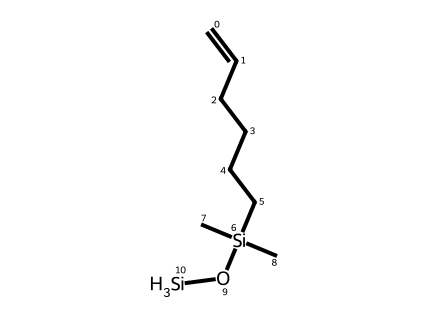 C=CCCCC[Si](C)(C)O[SiH3]